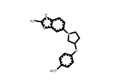 Nc1nc2cc(N3CCC(Oc4ccc(C(=O)O)cc4)C3)ccc2[nH]1